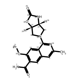 Cc1cc2cc(C(N)=O)c(OC(C)C)cc2c(N2C[C@@H]3OC(=O)N[C@@H]3C2)n1